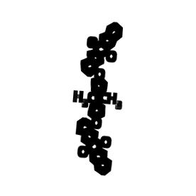 CC(C)(c1ccc(Oc2cccc3cc4c(cc23)C(=O)c2cc3ccccc3cc2C4=O)cc1)c1ccc(Oc2cccc3cc4c(cc23)C(=O)c2cc3ccccc3cc2C4=O)cc1